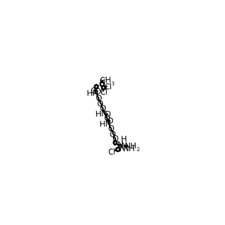 CN1Cc2c(Cl)cc(Cl)cc2[C@H](c2cccc(S(=O)(=O)NCCOCCOCCOCCNC(=O)COCC(=O)NCCOCCOCCOc3cccc(-c4nc(NC(=N)N)nc5ccc(Cl)cc45)c3)c2)C1